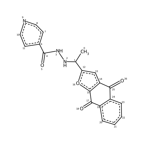 CC(NNC(=O)c1ccncc1)c1cc2c(o1)C(=O)c1ccccc1C2=O